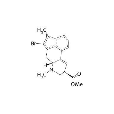 COC(=O)[C@@H]1C=C2c3cccc4c3c(c(Br)n4C)C[C@H]2N(C)C1